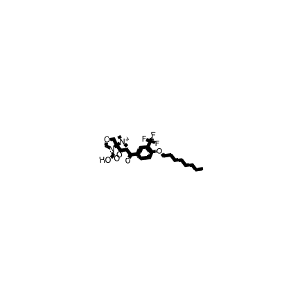 CCCCCCCCOc1ccc(C(=O)CC(=O)C2([N+](C)(C)C)COCN2C(=O)O)cc1C(F)(F)F